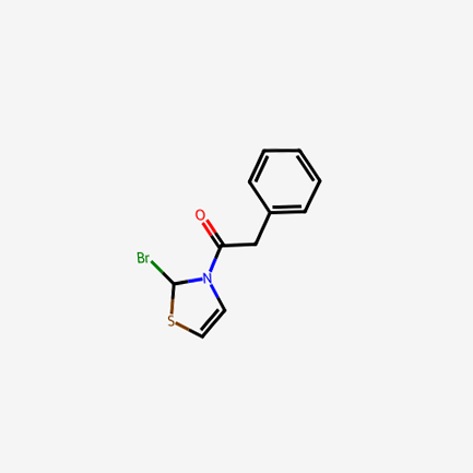 O=C(Cc1ccccc1)N1C=CSC1Br